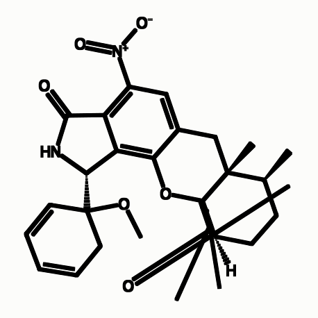 COC1([C@@H]2NC(=O)c3c([N+](=O)[O-])cc4c(c32)O[C@@]23CCC(=O)C(C)(C)[C@@H]2CC[C@H](C)[C@@]3(C)C4)C=CC=CC1